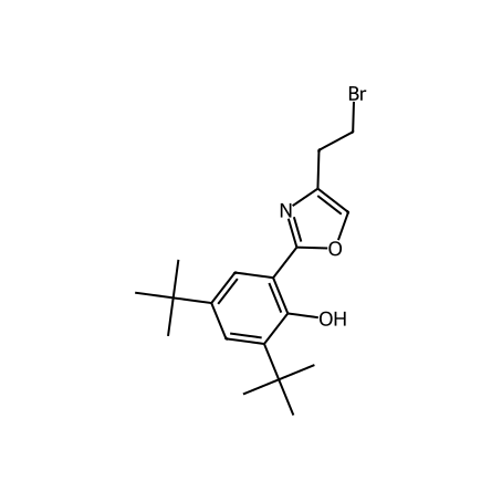 CC(C)(C)c1cc(-c2nc(CCBr)co2)c(O)c(C(C)(C)C)c1